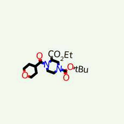 CCOC(=O)C1CN(C(=O)OC(C)(C)C)CCN1C(=O)C1CCOCC1